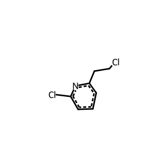 ClCCc1cccc(Cl)n1